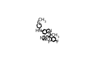 CCN1CCC(Nc2ccc3c(cnn3[C@H](C)[C@](O)(Cn3cncn3)c3ccc(F)cc3F)c2)CC1